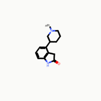 CCCN1CCCC(c2cccc3c2CC(=O)N3)C1